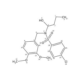 CCCC(O)N(Cc1ccc(OC)c(OC)c1)S(=O)(=O)c1ccc(Cl)cc1